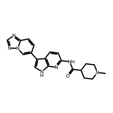 CN1CCC(C(=O)Nc2ccc3c(-c4ccc5ncnn5c4)c[nH]c3n2)CC1